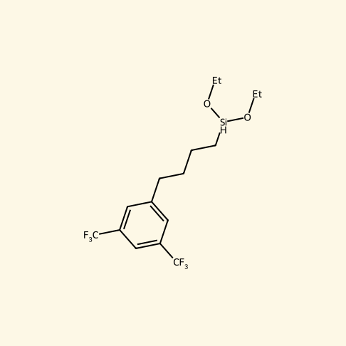 CCO[SiH](CCCCc1cc(C(F)(F)F)cc(C(F)(F)F)c1)OCC